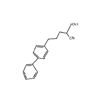 CCCCCCCCC(C#N)CCCc1ccc(-c2ccccc2)cc1